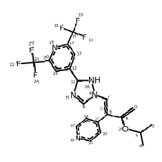 C=C(OC(C)C)/C(=C/N1C=NC(c2cc(C(F)(F)F)nc(C(F)(F)F)c2)N1)c1ccncc1